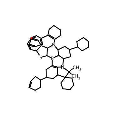 CC1(C)N2C3=C(CC(C4CC=CCC4)CC3C13CCCCC3)B1C3SC4C=CC=CC4C3N(C3=C(c4ccccc4)CCCC3)C3CC(C4CCCCC4)CC2C13